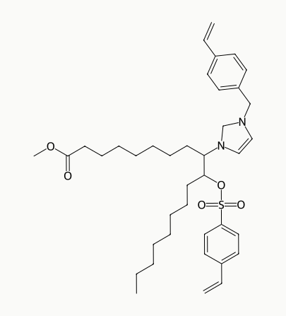 C=Cc1ccc(CN2C=CN(C(CCCCCCCC(=O)OC)C(CCCCCCCC)OS(=O)(=O)c3ccc(C=C)cc3)C2)cc1